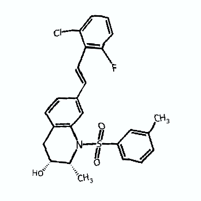 Cc1cccc(S(=O)(=O)N2c3cc(/C=C/c4c(F)cccc4Cl)ccc3C[C@@H](O)[C@H]2C)c1